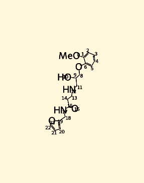 COc1ccccc1OCC(O)CNCCC(=O)NCc1ccco1